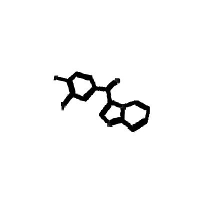 O=C(c1ccc(F)c(F)c1)c1cnc2ccccn12